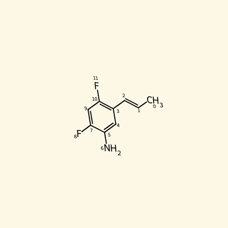 CC=Cc1cc(N)c(F)cc1F